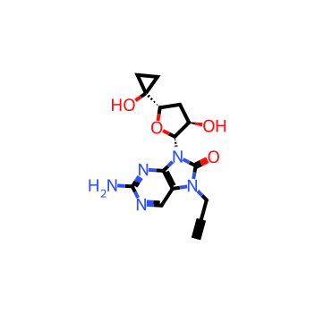 C#CCn1c(=O)n([C@@H]2O[C@H](C3(O)CC3)C[C@H]2O)c2nc(N)ncc21